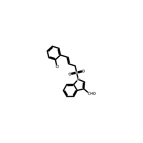 O=Cc1cn(S(=O)(=O)CC=Cc2ccccc2Cl)c2ccccc12